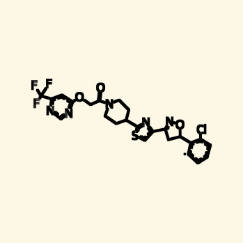 O=C(COc1cc(C(F)(F)F)ncn1)N1CCC(c2nc(C3=NOC(c4[c]cccc4Cl)C3)cs2)CC1